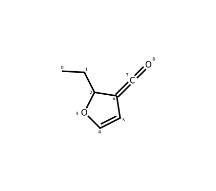 CCC1OC=CC1=C=O